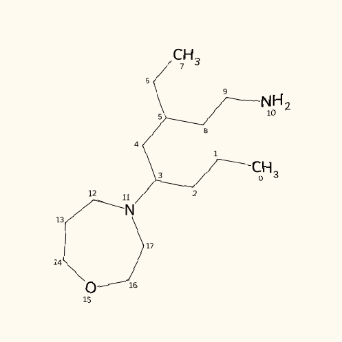 CCCC(CC(CC)CCN)N1CCCOCC1